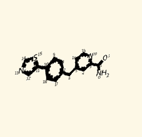 NC(=O)c1cc(Cc2ccc(-c3cncs3)cc2)ccn1